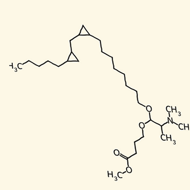 CCCCCC1CC1CC1CC1CCCCCCCCOC(OCCCC(=O)OC)C(C)N(C)C